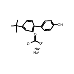 CC(C)(C)c1ccc(-c2ccc(O)cc2)cc1.O=C([O-])[O-].[Na+].[Na+]